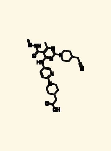 C=NNC(=O)c1c(C)nc(N2CCC(CC#N)CC2)nc1Nc1ccc(N2CCC(CC(=O)O)CC2)nc1